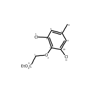 CCOC(=O)COc1c(Cl)cc(C)cc1Cl